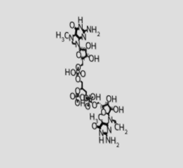 C=CN(c1nc(N)[nH]c(=O)c1C)C1O[C@H](COP(=O)(O)OCC(COP(=O)(O)OC[C@H]2O[C@@H](N3CN(C)c4c3nc(N)[nH]c4=O)[C@H](O)[C@@H]2O)OP(=O)(O)O)[C@@H](O)[C@H]1O